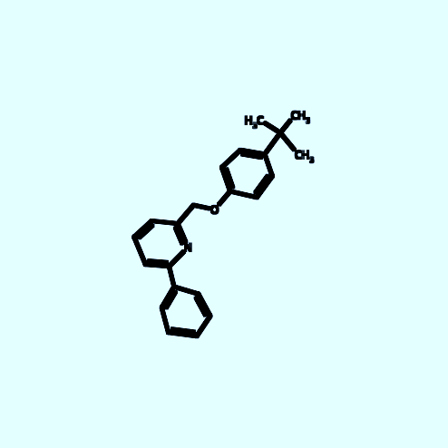 CC(C)(C)c1ccc(OCc2cccc(-c3ccccc3)n2)cc1